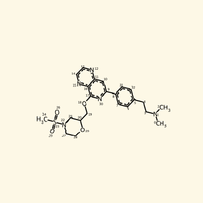 CN(C)CCc1ccc(-c2cc3nccnc3c(OCC3CN(S(C)(=O)=O)CCO3)n2)cc1